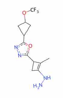 CC1=C(NN)CC1c1nnc(C2CC(OC(F)(F)F)C2)o1